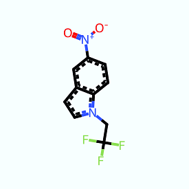 O=[N+]([O-])c1ccc2c(ccn2CC(F)(F)F)c1